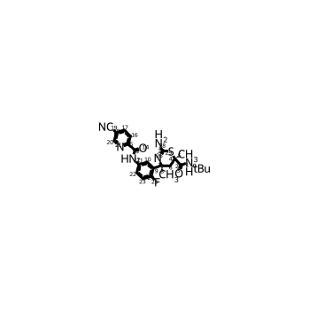 CC(C)(C)NC(=O)[C@@]1(C)C[C@@](C)(c2cc(NC(=O)c3ccc(C#N)cn3)ccc2F)N=C(N)S1